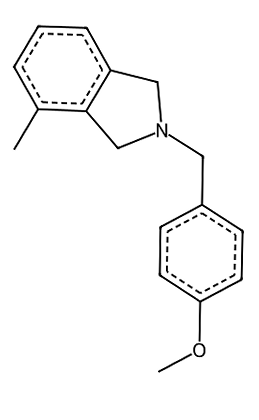 COc1ccc(CN2Cc3cccc(C)c3C2)cc1